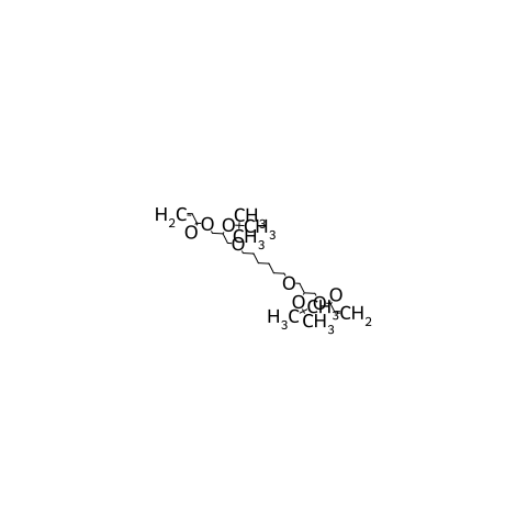 C=CC(=O)OCC(COCCCCCCOCC(COC(=O)C=C)OC(C)(C)C)OC(C)(C)C